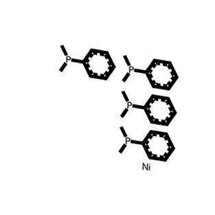 CP(C)c1ccccc1.CP(C)c1ccccc1.CP(C)c1ccccc1.CP(C)c1ccccc1.[Ni]